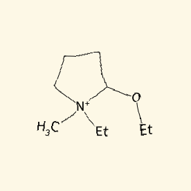 CCOC1CCC[N+]1(C)CC